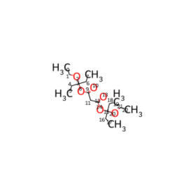 CCOC(CC)(CC)OC(=O)CC(=O)OC(CC)(CC)OCC